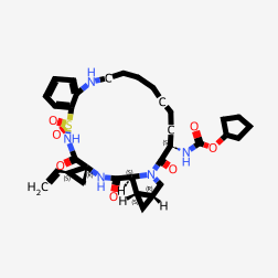 C=C[C@@H]1C[C@@]12NC(=O)[C@@H]1[C@H]3C[C@H]3CN1C(=O)[C@@H](NC(=O)OC1CCCC1)CCCCCCCNc1ccccc1S(=O)(=O)NC2=O